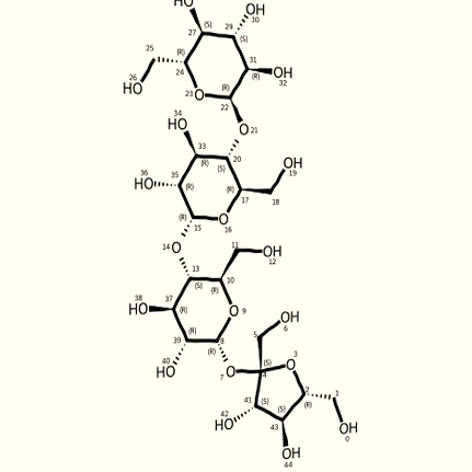 OC[C@H]1O[C@@](CO)(O[C@H]2O[C@H](CO)[C@@H](O[C@H]3O[C@H](CO)[C@@H](O[C@H]4O[C@H](CO)[C@@H](O)[C@H](O)[C@H]4O)[C@H](O)[C@H]3O)[C@H](O)[C@H]2O)[C@@H](O)[C@@H]1O